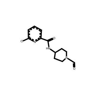 O=CN1CCC(NC(=O)c2cccc(Cl)n2)CC1